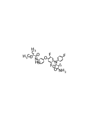 CO[C@@H](C)C(=O)Nc1cc(Oc2cc(F)c(N(C(=O)C3(C(N)=O)CC3)c3ccc(F)cc3)cc2F)ccn1